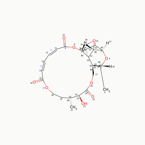 CC1=C[C@H]2O[C@@H]3C[C@H]4OC(=O)/C=C\C=C/C(=O)OCC[C@@H](C)[C@H](O)C(=O)OC[C@@]2(CC1)[C@]4(C)[C@@]31CO1